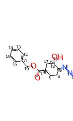 [N-]=[N+]=N[C@H]1CC[C@@H](C(=O)OCc2ccccc2)C[C@@H]1O